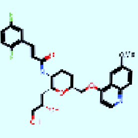 COc1ccc2nccc(OC[C@@H]3CC[C@@H](NC(=O)/C=C/c4cc(F)ccc4F)[C@@H](C[C@H](O)CO)O3)c2c1